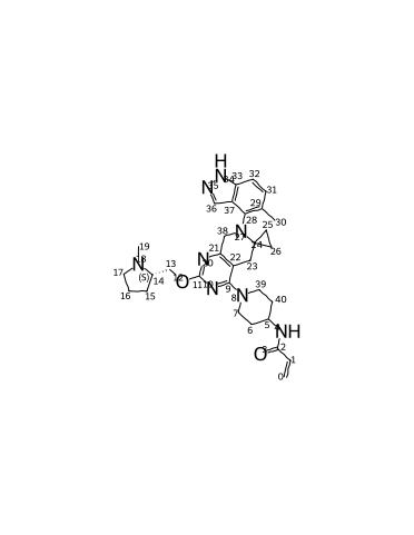 C=CC(=O)NC1CCN(c2nc(OC[C@@H]3CCCN3C)nc3c2CC2(CC2)N(c2c(C)ccc4[nH]ncc24)C3)CC1